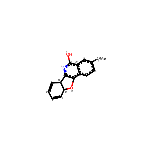 COc1ccc2c3c(nc(O)c2c1)C1C=CC=CC1O3